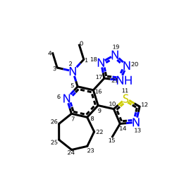 CCN(CC)c1nc2c(c(-c3scnc3C)c1-c1nnn[nH]1)CCCCC2